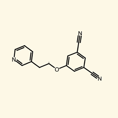 N#Cc1cc(C#N)cc(O[CH]Cc2cccnc2)c1